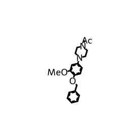 COc1cc(N2CCN(C(C)=O)CC2)ccc1OCc1ccccc1